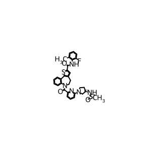 Cc1cccc(F)c1NC(=O)c1cc2c(s1)-c1ccccc1N(C(=O)c1cccc(N3CC[C@H](N[S+](C)[O-])C3)n1)CC2